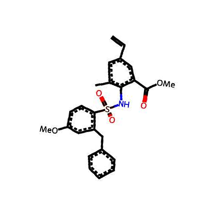 C=Cc1cc(C)c(NS(=O)(=O)c2ccc(OC)cc2Cc2ccccc2)c(C(=O)OC)c1